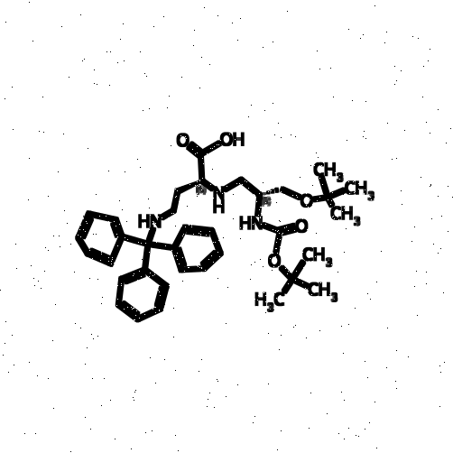 CC(C)(C)OC[C@@H](CN[C@@H](CCNC(c1ccccc1)(c1ccccc1)c1ccccc1)C(=O)O)NC(=O)OC(C)(C)C